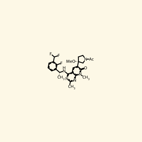 CO[C@]1(c2cc3c(N[C@H](C)c4cccc(C(F)F)c4F)nc(C)nc3n(C)c2=O)CCN(C(C)=O)C1